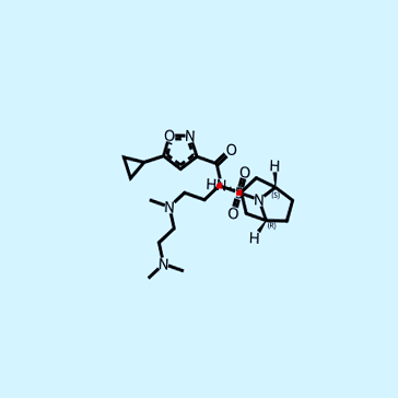 CN(C)CCN(C)CCCS(=O)(=O)N1[C@@H]2CC[C@H]1C[C@@H](NC(=O)c1cc(C3CC3)on1)C2